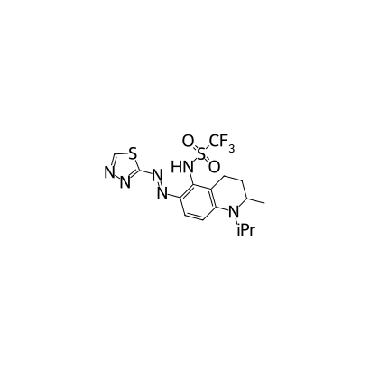 CC(C)N1c2ccc(N=Nc3nncs3)c(NS(=O)(=O)C(F)(F)F)c2CCC1C